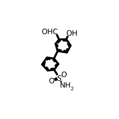 NS(=O)(=O)c1cccc(-c2ccc(O)c(C=O)c2)c1